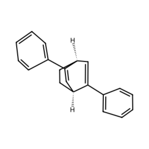 C1=C(c2ccccc2)[C@@H]2C=C(c3ccccc3)[C@H]1CC2